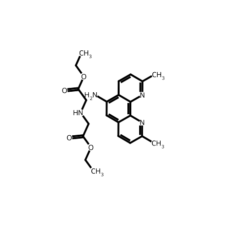 CCOC(=O)CNCC(=O)OCC.Cc1ccc2cc(N)c3ccc(C)nc3c2n1